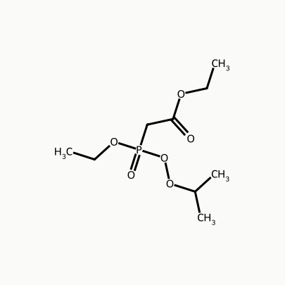 CCOC(=O)CP(=O)(OCC)OOC(C)C